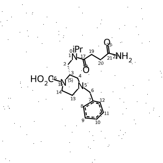 CC(C)N(C[C@@H]1CN(Cc2ccccc2)CCN1C(=O)O)C(=O)CCC(N)=O